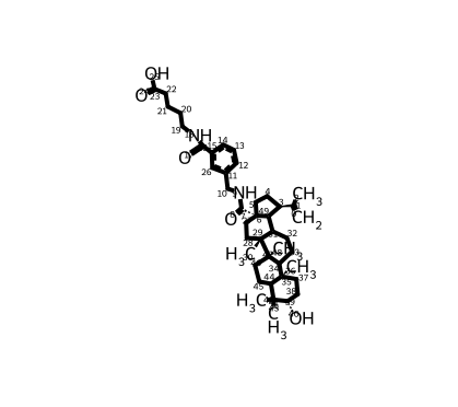 C=C(C)[C@@H]1CC[C@]2(C(=O)NCc3cccc(C(=O)NCCCCC(=O)O)c3)CC[C@]3(C)C(CCC4[C@@]5(C)CC[C@H](O)C(C)(C)C5CC[C@]43C)C12